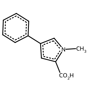 Cn1cc(-c2ccccc2)cc1C(=O)O